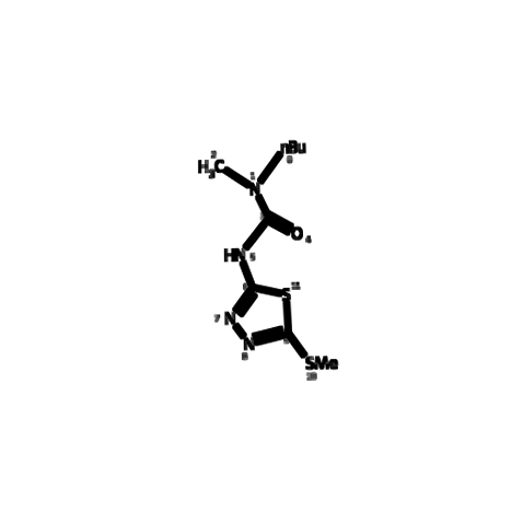 CCCCN(C)C(=O)Nc1nnc(SC)s1